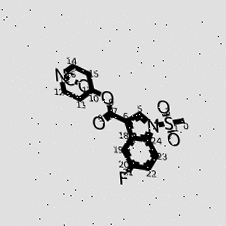 CS(=O)(=O)n1cc(C(=O)OC23CCN(CC2)CC3)c2cc(F)ccc21